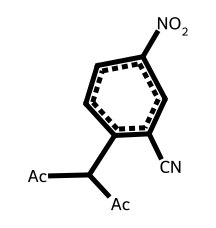 CC(=O)C(C(C)=O)c1ccc([N+](=O)[O-])cc1C#N